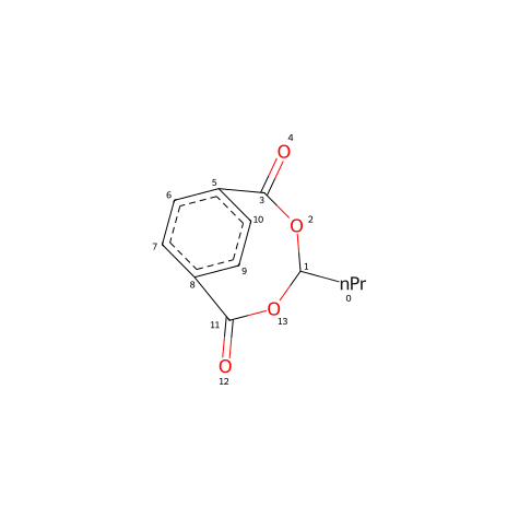 CCCC1OC(=O)c2ccc(cc2)C(=O)O1